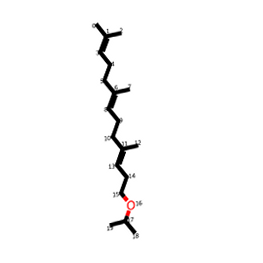 CC(C)=CCC/C(C)=C/CC/C(C)=C/CCOC(C)C